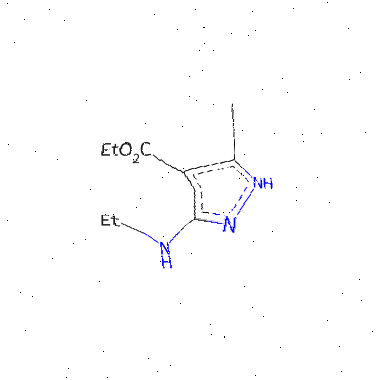 CCNc1n[nH]c(C)c1C(=O)OCC